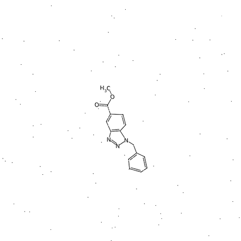 COC(=O)c1ccc2c(c1)nnn2Cc1ccccc1